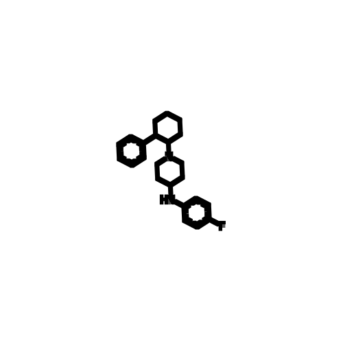 Fc1ccc(NC2CCN(C3CCCCC3c3ccccc3)CC2)cc1